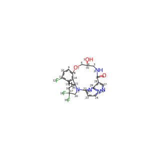 O=C1NC[C@H](O)COc2ccc(F)cc2[C@H]2CC(F)(F)CN2c2ccn3ncc1c3n2